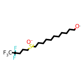 [O]CCCCCCCCCCC[S+]([O-])CCCC(F)(F)C(F)(F)F